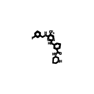 O=C(N[C@H]1CCCNC1)c1cccc(Nc2ncc(C(F)(F)F)c(NCc3cccc(F)c3)n2)c1